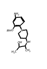 COc1cc(N)ccc1N1CCC(NC(C)C(C)O)CC1